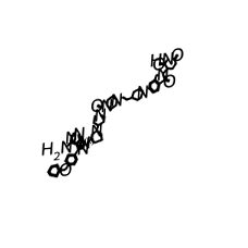 Nc1ncnc2c1c(-c1ccc(Oc3ccccc3)cc1)nn2[C@@H]1CCCN(C2CCN(C(=O)N3CCN(CCC4CCN(c5ccc6c(c5)CN(C5CCC(=O)NC5=O)C6=O)CC4)CC3)CC2)C1